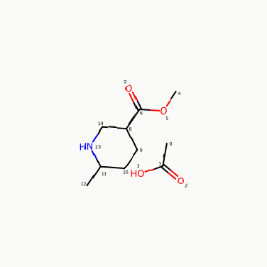 CC(=O)O.COC(=O)C1CCC(C)NC1